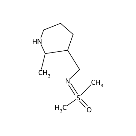 CC1NCCCC1CN=S(C)(C)=O